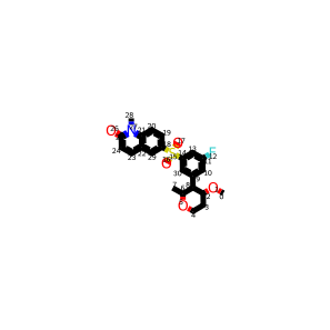 COC1CCOC(C)C1c1cc(F)cc(S(=O)(=O)c2ccc3c(ccc(=O)n3C)c2)c1